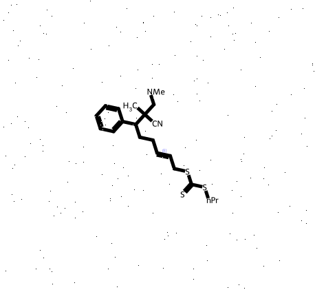 CCCSC(=S)SC/C=C/CCC(c1ccccc1)C(C)(C#N)CNC